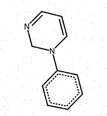 C1=CN(c2ccccc2)CN=C1